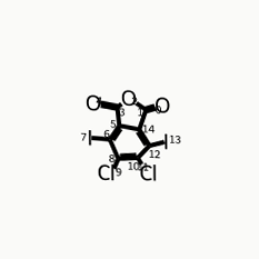 O=C1OC(=O)c2c(I)c(Cl)c(Cl)c(I)c21